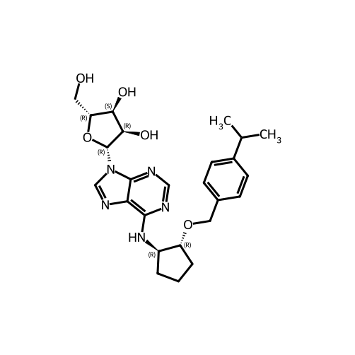 CC(C)c1ccc(CO[C@@H]2CCC[C@H]2Nc2ncnc3c2ncn3[C@@H]2O[C@H](CO)[C@@H](O)[C@H]2O)cc1